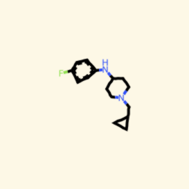 Fc1ccc(NC2CCN(CC3CC3)CC2)cc1